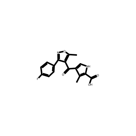 Cc1onc(-c2ccc(F)cc2)c1C(=O)c1c[nH]c(C(=O)O)c1C